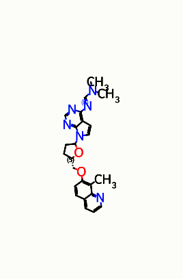 Cc1c(OC[C@@H]2CCC(n3ccc4c(/N=C/N(C)C)ncnc43)O2)ccc2cccnc12